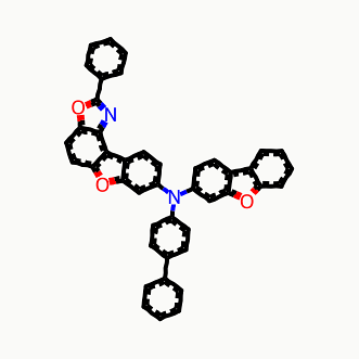 c1ccc(-c2ccc(N(c3ccc4c(c3)oc3ccccc34)c3ccc4c(c3)oc3ccc5oc(-c6ccccc6)nc5c34)cc2)cc1